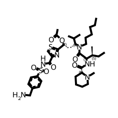 CCCCCCN(C(=O)[C@@H](NC(=O)[C@H]1CCCCN1C)[C@@H](C)CC)[C@H](C[C@@H](OC(C)=O)c1nc(C(=O)NS(=O)(=O)c2ccc(CN)cc2)cs1)C(C)C